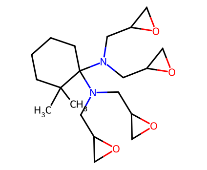 CC1(C)CCCCC1(N(CC1CO1)CC1CO1)N(CC1CO1)CC1CO1